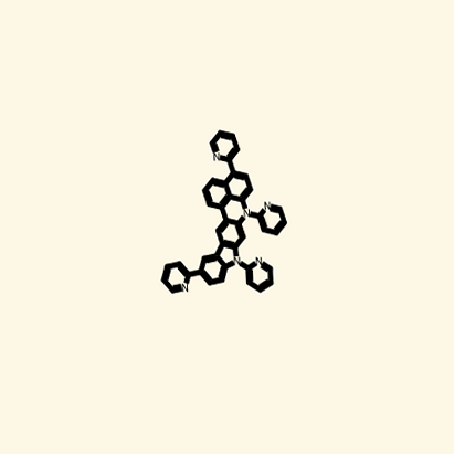 c1ccc(-c2ccc3c(c2)c2cc4c(cc2n3-c2ccccn2)N(c2ccccn2)c2ccc(-c3ccccn3)c3cccc-4c23)nc1